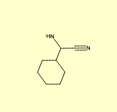 N#CC([NH])C1CCCCC1